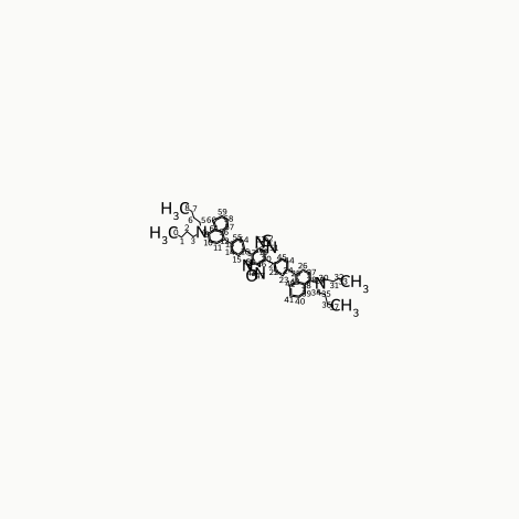 CCCCN(CCCC)c1ccc(-c2ccc(-c3c4c(c(-c5ccc(-c6ccc(N(CCCC)CCCC)c7ccccc67)cc5)c5nonc35)N=S=N4)cc2)c2ccccc12